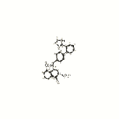 O=C(O)c1cn(Cc2ccc(-c3ccccc3-c3nnn[nH]3)cc2)c2c(C(=O)O)cccc2c1=O